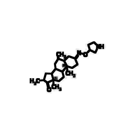 C=C1CC2C(CC[C@]3(C)C(=O)C(C)CC23)[C@@]2(C)CCC(=NOC3CCNC3)CC12